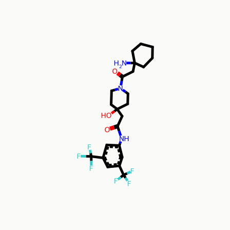 NC1(CC(=O)N2CCC(O)(CC(=O)Nc3cc(C(F)(F)F)cc(C(F)(F)F)c3)CC2)CCCCC1